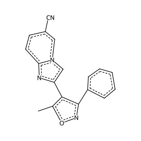 Cc1onc(-c2ccccc2)c1-c1cn2cc(C#N)ccc2n1